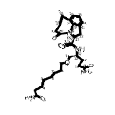 NC(=O)CCCCCCCOC[C@H](CCC(N)=O)NC(=O)[C@@H]1Cc2cccc3c2N1C(=O)CCC3